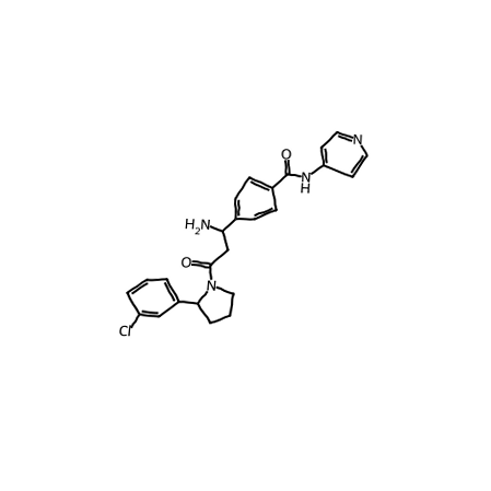 NC(CC(=O)N1CCCC1c1cccc(Cl)c1)c1ccc(C(=O)Nc2ccncc2)cc1